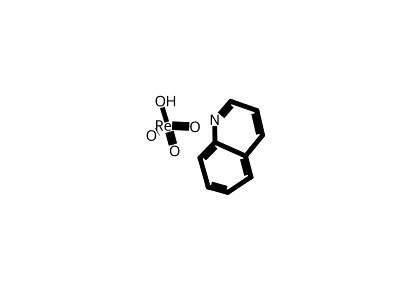 [O]=[Re](=[O])(=[O])[OH].c1ccc2ncccc2c1